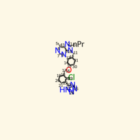 CCCc1nc2c(C)ncnc2n1Cc1ccc(OCc2cccc(-c3nnn[nH]3)c2Cl)cc1